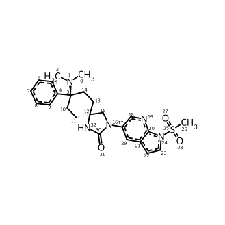 CN(C)[C@]1(c2ccccc2)CC[C@]2(CC1)CN(c1cnc3c(ccn3S(C)(=O)=O)c1)C(=O)N2